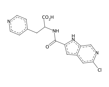 O=C(NC(Cc1ccncc1)C(=O)O)c1cc2cc(Cl)ncc2[nH]1